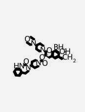 Bc1cc(C[C@@H](OC(=O)N2CCC(N3CCc4ccccc4NC3=O)CC2)C(=O)N2CCC(N3CCOCC3)CC2)cc(C=C)c1O